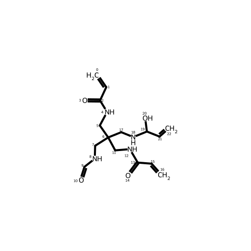 C=CC(=O)NCC(CNC=O)(CNC(=O)C=C)CNC(O)C=C